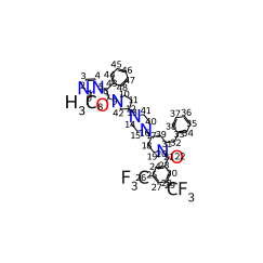 Cc1nccn1C(C(=O)N1CCC(N2CCN(C3CCN(C(=O)c4cc(C(F)(F)F)cc(C(F)(F)F)c4)C(Cc4ccccc4)C3)CC2)C1)c1ccccc1